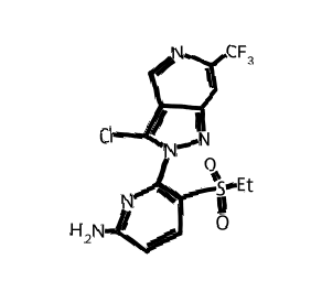 CCS(=O)(=O)c1ccc(N)nc1-n1nc2cc(C(F)(F)F)ncc2c1Cl